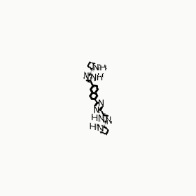 c1cc2cc(-c3cnc([C@@H]4CCCN4)[nH]3)ccc2cc1-c1cnc(-c2cnc([C@@H]3CCCN3)[nH]2)cn1